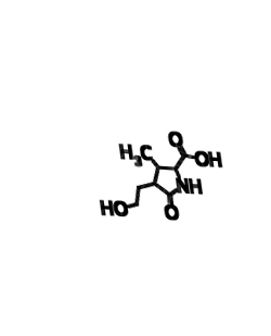 CC1C(CCO)C(=O)NC1C(=O)O